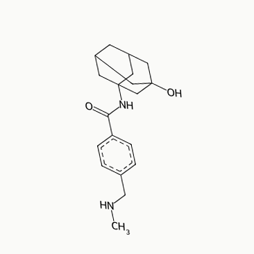 CNCc1ccc(C(=O)NC23CC4CC(CC(O)(C4)C2)C3)cc1